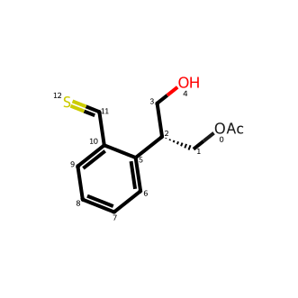 CC(=O)OC[C@@H](CO)c1ccccc1C=S